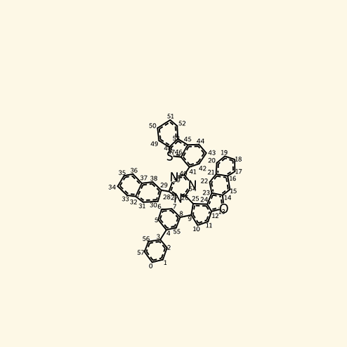 c1ccc(-c2cccc(-c3ccc4oc5cc6ccccc6cc5c4c3-c3nc(-c4ccc5ccccc5c4)nc(-c4cccc5c4sc4ccccc45)n3)c2)cc1